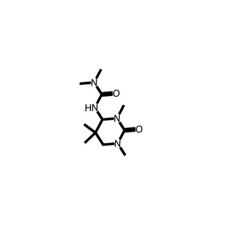 CN(C)C(=O)NC1N(C)C(=O)N(C)CC1(C)C